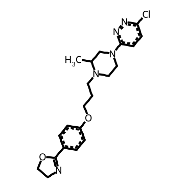 CC1CN(c2ccc(Cl)nn2)CCN1CCCOc1ccc(C2=NCCO2)cc1